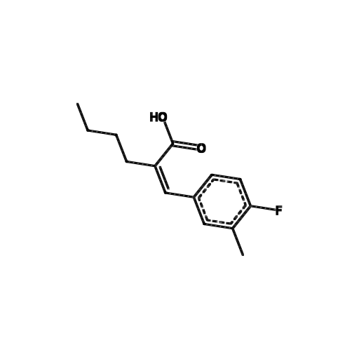 CCCCC(=Cc1ccc(F)c(C)c1)C(=O)O